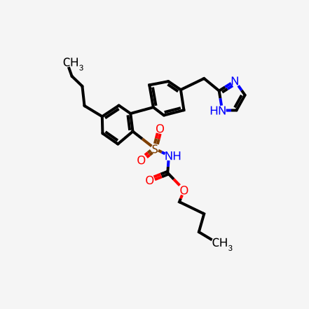 CCCCOC(=O)NS(=O)(=O)c1ccc(CCCC)cc1-c1ccc(Cc2ncc[nH]2)cc1